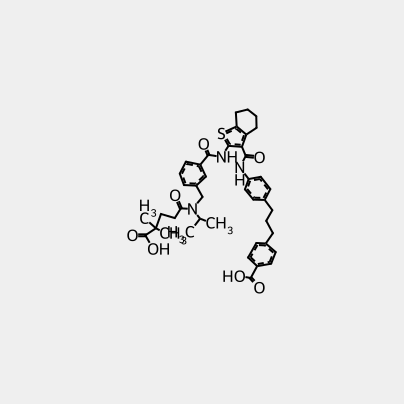 CC(C)N(Cc1cccc(C(=O)Nc2sc3c(c2C(=O)Nc2ccc(CCCc4ccc(C(=O)O)cc4)cc2)CCCC3)c1)C(=O)CCC(C)(C)C(=O)O